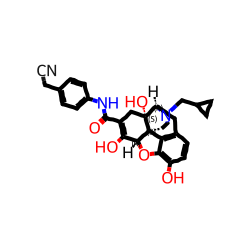 N#CCc1ccc(NC(=O)C2=C(O)[C@@H]3Oc4c(O)ccc5c4[C@@]34CCN(CC3CC3)[C@H](C5)[C@]4(O)C2)cc1